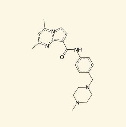 Cc1cc(C)n2ccc(C(=O)Nc3ccc(CN4CCN(C)CC4)cc3)c2n1